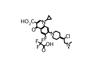 CN(C)CC(Cl)=C1CCN(c2cc3c(cc2F)c(=O)c(C(=O)O)cn3C2CC2)CC1.O=C(O)C(F)(F)F